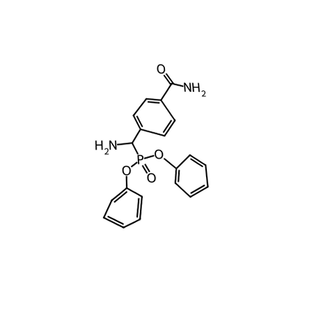 NC(=O)c1ccc(C(N)P(=O)(Oc2ccccc2)Oc2ccccc2)cc1